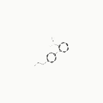 CCCc1ccc(-c2ccccc2N(P)P)cc1